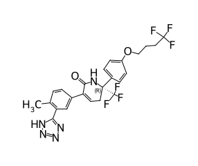 Cc1ccc(C2=CC[C@@](c3ccc(OCCCC(F)(F)F)cc3)(C(F)(F)F)NC2=O)cc1-c1nnn[nH]1